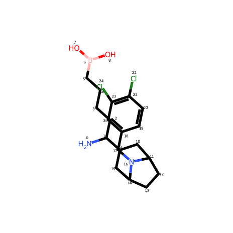 NC(CCCCB(O)O)C1CC2CCC(C1)N2Cc1ccc(Cl)c(Cl)c1